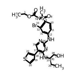 CCOC(=O)N=S(C)(=O)c1ccc(Nc2ncc(-c3ccsc3)c(N[C@H](CC)CO)n2)cc1Br